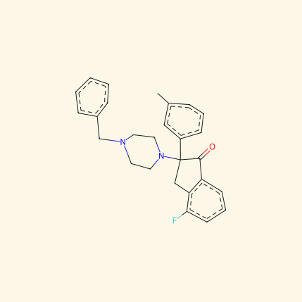 Cc1cccc(C2(N3CCN(Cc4ccccc4)CC3)Cc3c(F)cccc3C2=O)c1